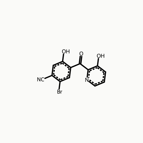 N#Cc1cc(O)c(C(=O)c2ncccc2O)cc1Br